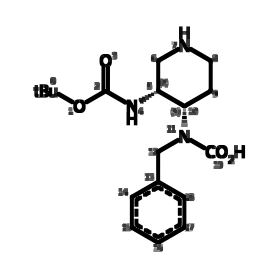 CC(C)(C)OC(=O)N[C@@H]1CNCC[C@@H]1N(Cc1ccccc1)C(=O)O